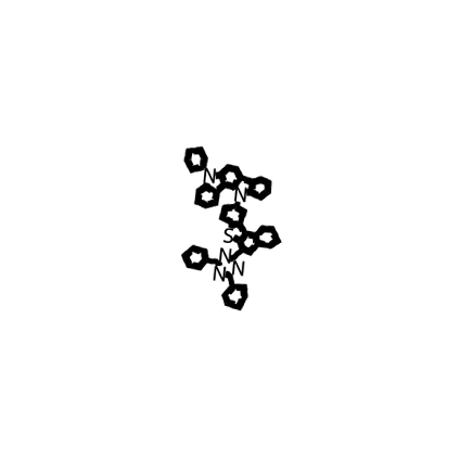 c1ccc(-c2nc(-c3ccccc3)nc(-c3cc4ccccc4c4c3sc3ccc(-n5c6ccccc6c6ccc7c(c8ccccc8n7-c7ccccc7)c65)cc34)n2)cc1